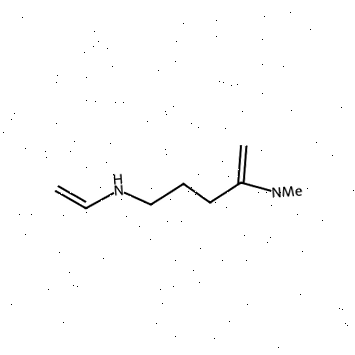 C=CNCCCC(=C)NC